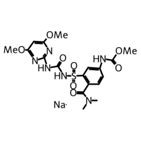 COC(=O)Nc1ccc(C(=O)N(C)C)c(S(=O)(=O)NC(=O)Nc2nc(OC)cc(OC)n2)c1.[Na]